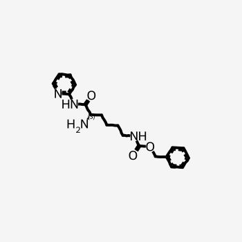 N[C@@H](CCCCNC(=O)OCc1ccccc1)C(=O)Nc1ccccn1